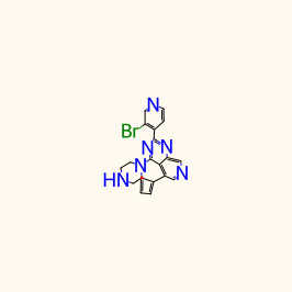 Brc1cnccc1-c1nc(N2CCNCC2)c2c(C3=CC=C3)cncc2n1